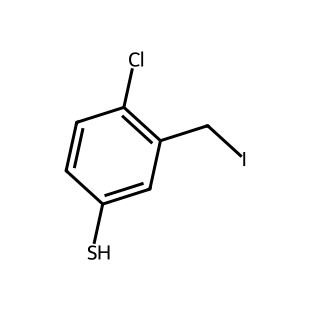 Sc1ccc(Cl)c(CI)c1